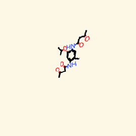 CC(=O)CC(=O)Nc1cc(OC(C)C)c(NC(=O)CC(C)=O)cc1C